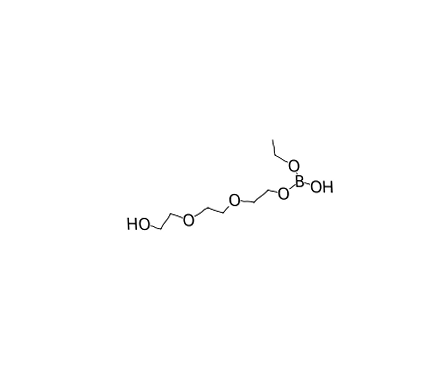 CCOB(O)OCCOCCOCCO